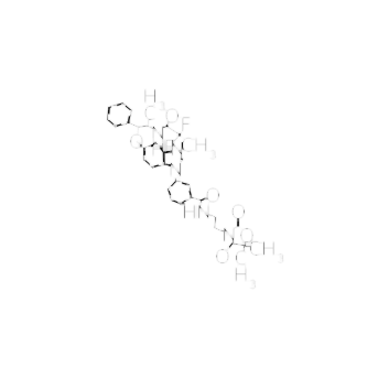 C[C@H](NC(=O)C(C)(F)F)[C@H](Oc1ccc2c(c1)ncn2-c1cccc(C(=O)NCCN2C(=O)OC(C)(C)C2=O)c1)c1ccccc1